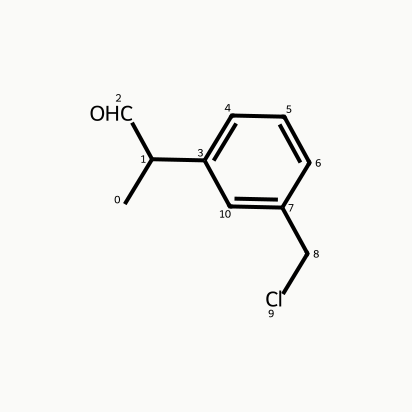 CC(C=O)c1cccc(CCl)c1